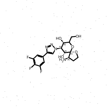 N[C@@H]1CCO[C@]12OC(CO)[C@H](O)[C@H](n1cc(-c3cc(F)c(F)c(F)c3)nn1)[C@H]2O